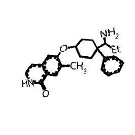 CCC(N)C1(c2ccccc2)CCC(Oc2cc3cc[nH]c(=O)c3cc2C)CC1